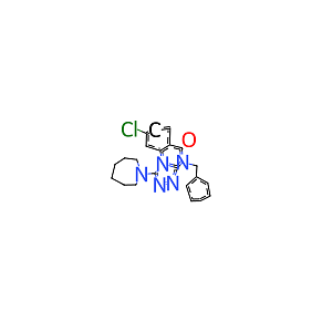 O=c1c2ccc(Cl)cc2n2c(N3CCCCCC3)nnc2n1Cc1ccccc1